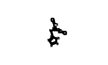 O=[C]=[Ru](=[C]=O)[CH2]C1=CC=CC1